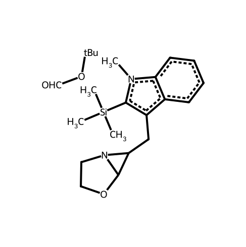 CC(C)(C)OC=O.Cn1c([Si](C)(C)C)c(CC2C3OCCN23)c2ccccc21